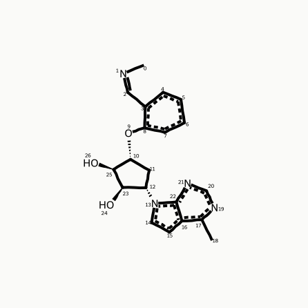 C/N=C\c1ccccc1O[C@@H]1C[C@H](n2ccc3c(C)ncnc32)[C@@H](O)[C@H]1O